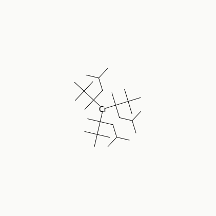 CC(C)C[C](C)([Cr]([C](C)(CC(C)C)C(C)(C)C)[C](C)(CC(C)C)C(C)(C)C)C(C)(C)C